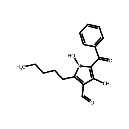 CCCCCc1c(C=O)c(C)c(C(=O)c2ccccc2)n1O